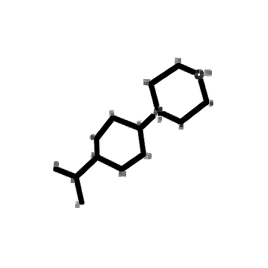 CC(C)C1CCC(N2CCOCC2)CC1